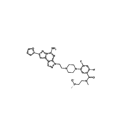 CN(CC[S@+](C)[O-])C(=O)c1cc(N2CCN(CCn3ncc4c3nc(N)n3nc(-c5ccco5)cc43)CC2)c(F)cc1F